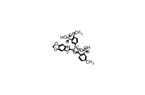 COc1ccc(-[n+]2nc(-c3ccc(C)cc3S(=O)(=O)O)nn2-c2nc3cc4c(cc3s2)OCO4)cc1S(=O)(=O)O